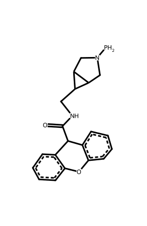 O=C(NCC1C2CN(P)CC12)C1c2ccccc2Oc2ccccc21